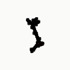 CCC(=O)OCCCCCC(=O)OCC(CC)(COC(=O)CCCCCOC(=O)CCSCCC(=O)OCC(COC(=O)CCSC)(COC(=O)CCSC)COC(=O)CCSC)CC12C3C4C5C3C1C5C42